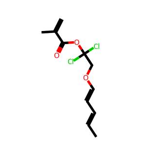 C=C(C)C(=O)OC(Cl)(Cl)CO/C=C/C=C/C